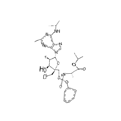 Cc1nc(NC(C)C)c2ncn([C@@H]3O[C@](CCl)(COP(=O)(N[C@@H](C)C(=O)OC(C)C)Oc4ccccc4)[C@@H](O)[C@H]3F)c2n1